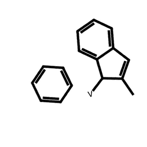 CC1=Cc2ccccc2[CH]1[V].c1ccccc1